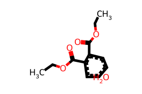 CCOC(=O)c1ccccc1C(=O)OCC.O